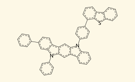 c1ccc(-c2ccc3c4cc5c(cc4n(-c4ccccc4)c3c2)c2ccccc2n5-c2ccc(-c3cccc4c3sc3ccccc34)cc2)cc1